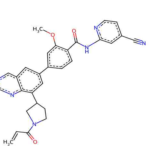 C=CC(=O)N1CCC(c2cc(-c3ccc(C(=O)Nc4cc(C#N)ccn4)c(OC)c3)cc3cncnc23)C1